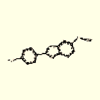 CSOc1ccc2nc(-c3ccc(N)cc3)sc2c1